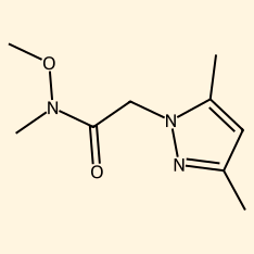 CON(C)C(=O)Cn1nc(C)cc1C